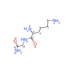 NCCCC[C@H](N)C(=O)NCC(N)=O